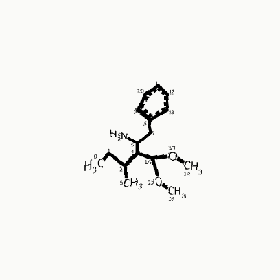 CCC(C)C(C(N)Cc1ccccc1)C(OC)OC